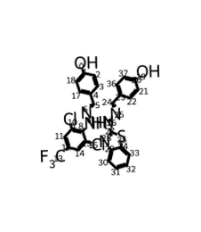 Oc1ccc(C=NNc2c(Cl)cc(C(F)(F)F)cc2Cl)cc1.Oc1ccc(C=NNc2nc3ccccc3s2)cc1